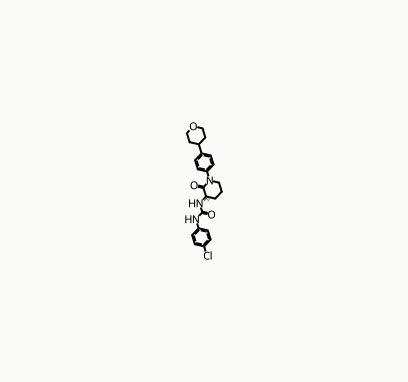 O=C(Nc1ccc(Cl)cc1)N[C@@H]1CCCN(c2ccc(C3CCOCC3)cc2)C1=O